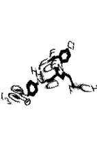 Cc1c(C(=O)Nc2ccc(S(C)(=O)=O)cc2)cc(C[C@@H](C)F)n1-c1ccc(Cl)cc1C(F)(F)F